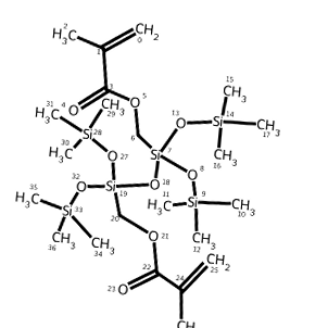 C=C(C)C(=O)OC[Si](O[Si](C)(C)C)(O[Si](C)(C)C)O[Si](COC(=O)C(=C)C)(O[Si](C)(C)C)O[Si](C)(C)C